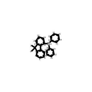 CC1(C)c2ccccc2-c2c(B(c3ccccc3)c3ccccc3)cccc21